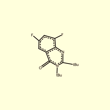 CC(C)(C)c1nc2c(F)cc(F)cc2c(=O)n1C(C)(C)C